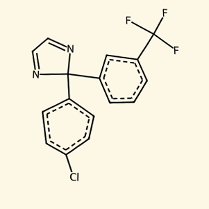 FC(F)(F)c1cccc(C2(c3ccc(Cl)cc3)N=CC=N2)c1